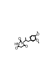 COc1ccc(CC(C)N2C(=O)CC(=O)NC2=O)cc1OC